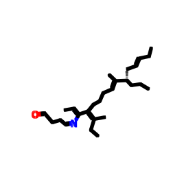 C/C=C(\N=C/CCC=O)C(/CCC/C=C(\C)[C@H](C/C=C/CC)CCC)=C(/C)CC